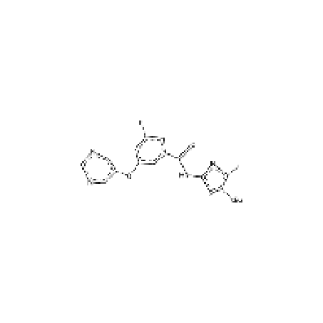 Cc1nc(NC(=O)c2cc(F)cc(Oc3cncnc3)c2)sc1C(C)(C)C